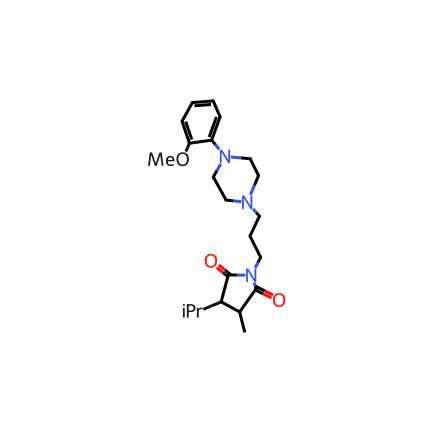 COc1ccccc1N1CCN(CCCN2C(=O)C(C)C(C(C)C)C2=O)CC1